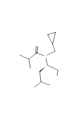 CC(C)C[C@H](CO)N(CC1CC1)C(=O)C(C)C